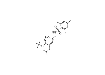 Cc1cc(C)c(S(=O)(=O)NC[C@@H](O)C=C(CC(C)C)C(=O)OC(C)(C)C)c(C)c1